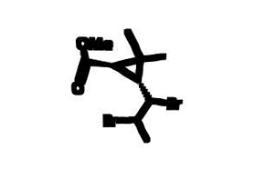 COC(=O)[C@@H]1[C@@H](C(Br)C(C)Br)C1(C)C